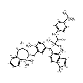 CC[C@@H]1CN(Cc2cc([C@@H](c3ccc4c(nnn4CC)c3C)C(C)(C)C(=O)Nc3cnc(N(C)C)nc3)ccc2C)S(O)(O)c2cccnc2O1